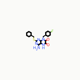 Nc1nc(SCc2ccccc2)nc2c1[nH]c(=O)c(=O)n2Cc1ccc(F)cc1